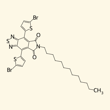 CCCCCCCCCCCCCN1C(=O)c2c(c(-c3ccc(Br)s3)c3nsnc3c2-c2ccc(Br)s2)C1=O